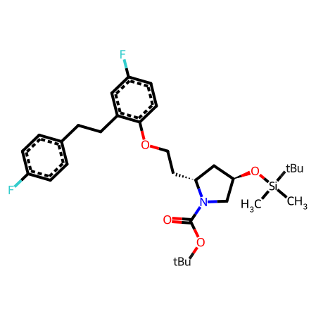 CC(C)(C)OC(=O)N1C[C@H](O[Si](C)(C)C(C)(C)C)C[C@H]1CCOc1ccc(F)cc1CCc1ccc(F)cc1